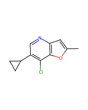 Cc1cc2ncc(C3CC3)c(Cl)c2o1